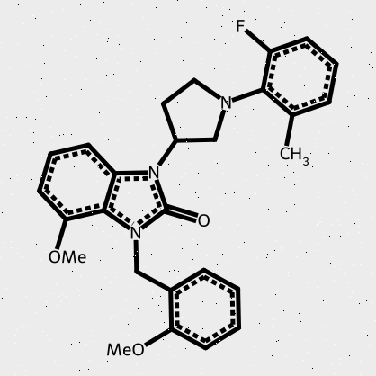 COc1ccccc1Cn1c(=O)n(C2CCN(c3c(C)cccc3F)C2)c2cccc(OC)c21